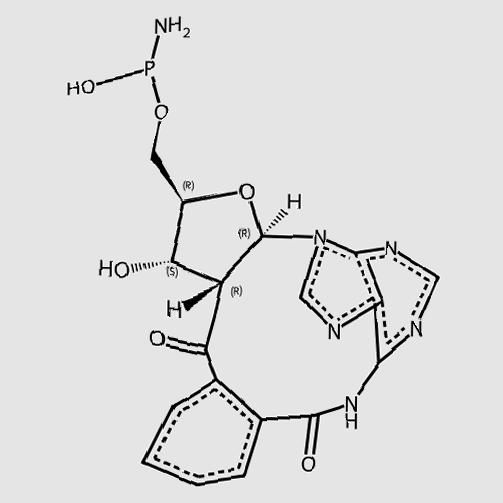 NP(O)OC[C@H]1O[C@@H]2[C@H](C(=O)c3ccccc3C(=O)Nc3ncnc4c3ncn42)[C@@H]1O